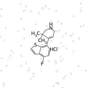 CC1(C)CNCC=C1c1ccc(F)c2ccsc12.Cl